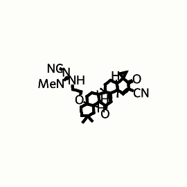 CN/C(=N\C#N)NCCO[C@]12CCC(C)(C)C[C@H]1[C@H]1C(=O)C=C3[C@@]4(C)C=C(C#N)C(=O)C5(CC5)[C@@H]4CC[C@@]3(C)[C@]1(C)CC2